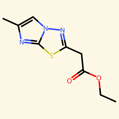 CCOC(=O)Cc1nn2cc(C)nc2s1